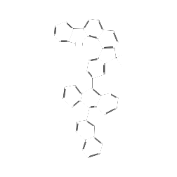 CC1(C)c2cc(-c3c4ccccc4c(-c4ccc5ccccc5c4)c4ccccc34)ccc2-c2c1ccc1ccc3c4ccccc4oc3c21